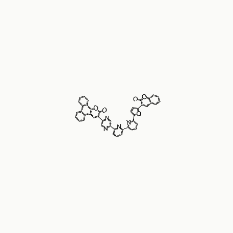 O=c1oc2c3ccccc3c3ccccc3c2cc1-c1cnc(-c2cccc(-c3cccc(-c4ccc(-c5cc6ccccc6oc5=O)o4)n3)n2)cn1